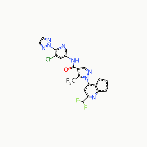 O=C(Nc1cnc(-n2nccn2)c(Cl)c1)c1cnn(-c2cc(C(F)F)nc3ccccc23)c1C(F)(F)F